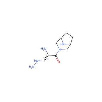 NN/C=C(\N)C(=O)N1CC2CCC(C1)N2